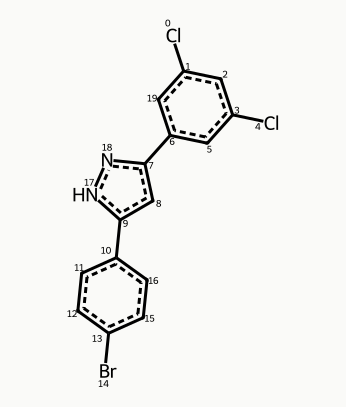 Clc1cc(Cl)cc(-c2cc(-c3ccc(Br)cc3)[nH]n2)c1